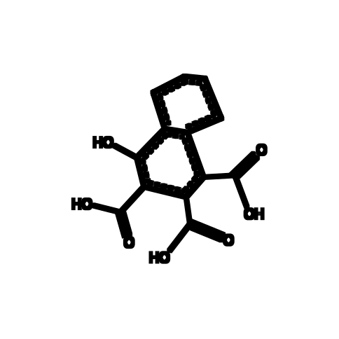 O=C(O)c1c(C(=O)O)c(C(=O)O)c2ccccc2c1O